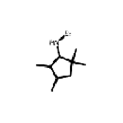 CCNC1C(C)C(C)CC1(C)C